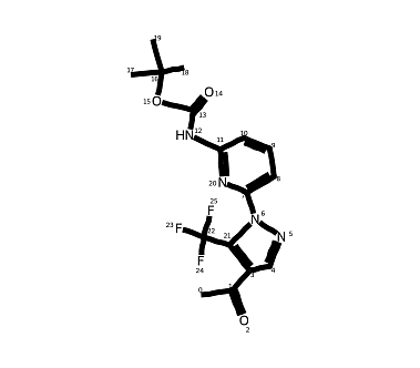 CC(=O)c1cnn(-c2cccc(NC(=O)OC(C)(C)C)n2)c1C(F)(F)F